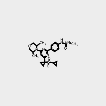 CNC(=O)Nc1ccc(-c2nc(N3C(C)COCC3C)cc(C3(S(=O)(=O)C4CC4)CC3)n2)cc1